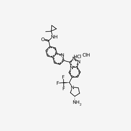 CC1(NC(=O)c2ccc3ccc(-c4nnc5ccc([C@@H](N6CC[C@H](N)C6)C(F)(F)F)cn45)nc3c2)CC1.Cl.Cl